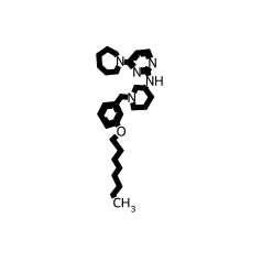 CCCCCCCCOc1cccc(CN2CCCC(Nc3nccc(N4CCCCCC4)n3)C2)c1